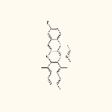 Cc1ccc2c(C)c3c(c(C)c2c1)-c1c2c(cc4cc(F)ccc4c2cc[n+]1C)O3